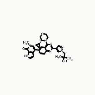 Cn1cc(-c2ccc3nc(-c4cnn(CC(C)(C)O)c4)nc(N4CCOC[C@@H]4C4CC4)c3c2)c2cc[nH]c2c1=O